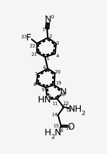 N#Cc1ccc(-c2ccc3[nH]c([C@@H](N)CC(N)=O)nc3c2)cc1F